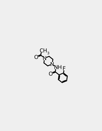 CC(=O)N1CCN(NC(=O)c2ccccc2F)CC1